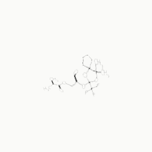 C=C(C)C(=O)OCC(=O)OC1(C(F)(F)F)OC(C)(C)C2(CCCC2)O1